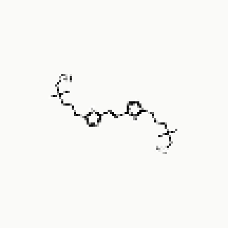 CC(C)(CO)CCCc1ccc(C=Cc2ccc(CCCC(C)(C)CO)s2)s1